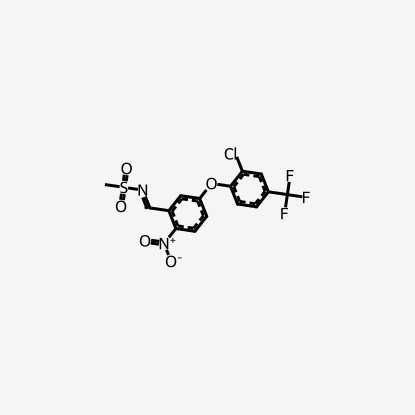 CS(=O)(=O)N=[C]c1cc(Oc2ccc(C(F)(F)F)cc2Cl)ccc1[N+](=O)[O-]